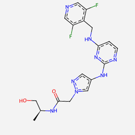 C[C@@H](CO)NC(=O)Cn1cc(Nc2nccc(NCc3c(F)cncc3F)n2)cn1